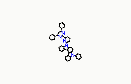 C1=CCC(c2cc(C3=CCCC=C3)nc(C3=NC(n4c5ccccc5c5c6c7ccccc7n(-c7ccccc7)c6ccc54)=CCC3)n2)C=C1